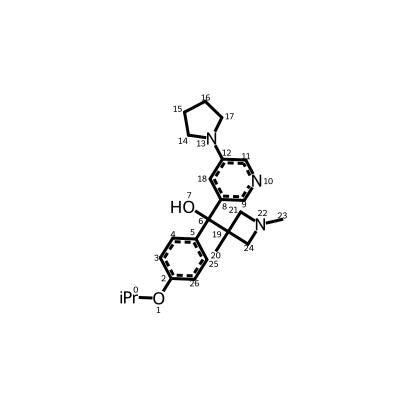 CC(C)Oc1ccc(C(O)(c2cncc(N3CCCC3)c2)C2(C)CN(C)C2)cc1